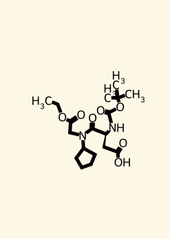 CCOC(=O)CN(C(=O)[C@H](CC(=O)O)NC(=O)OC(C)(C)C)C1CCCC1